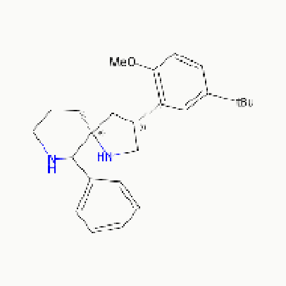 COc1ccc(C(C)(C)C)cc1[C@@H]1CN[C@]2(CCCNC2c2ccccc2)C1